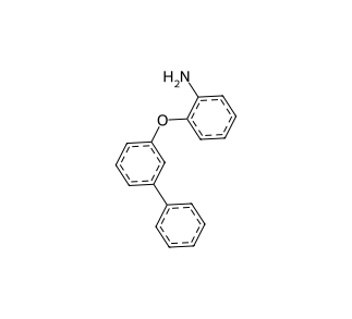 Nc1ccccc1Oc1cccc(-c2ccccc2)c1